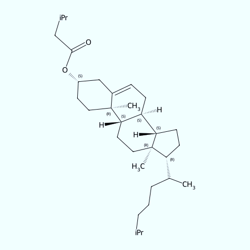 CC(C)CCCC(C)[C@H]1CC[C@H]2[C@@H]3CC=C4C[C@@H](OC(=O)CC(C)C)CC[C@]4(C)[C@H]3CC[C@]12C